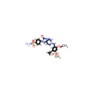 CCOc1cc(S(C)(=O)=O)c(C2CC2)cc1CN1CCC2(CC1)CN(c1ccc(S(N)(=O)=O)cc1)C(=O)N2